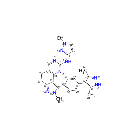 CCn1ccc(Nc2ncc3c(n2)-c2c(nn(C)c2-c2ccc(-c4c(C)n[nH]c4C)cc2)CC3)n1